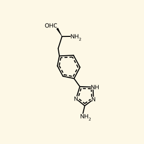 Nc1n[nH]c(-c2ccc(C[C@H](N)C=O)cc2)n1